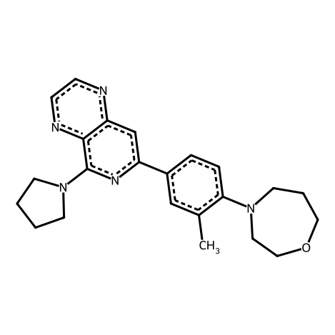 Cc1cc(-c2cc3nccnc3c(N3CCCC3)n2)ccc1N1CCCOCC1